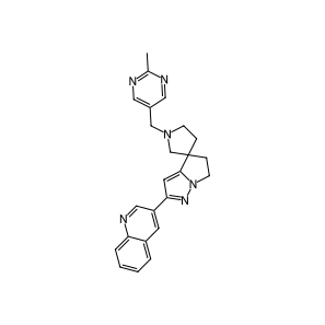 Cc1ncc(CN2CCC3(CCn4nc(-c5cnc6ccccc6c5)cc43)C2)cn1